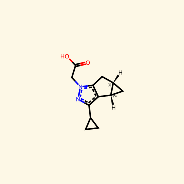 O=C(O)Cn1nc(C2CC2)c2c1C[C@@H]1C[C@H]21